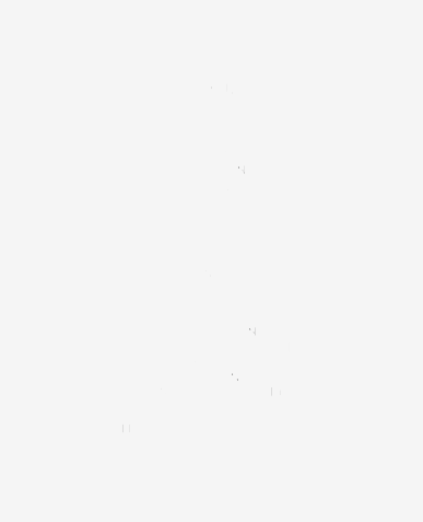 CCCCCCCCn1c2cc(C)ccc2c2ccc(-c3ccc(-c4ccc(-c5ccc(C)s5)c5nc(CC)c(CC)nc45)s3)cc21